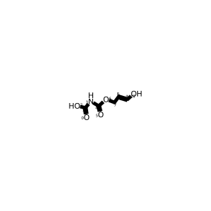 O=C(O)NC(=O)OCC=CO